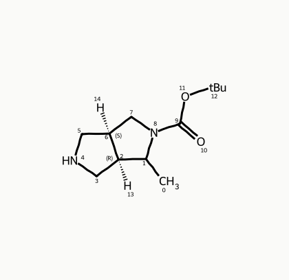 CC1[C@H]2CNC[C@H]2CN1C(=O)OC(C)(C)C